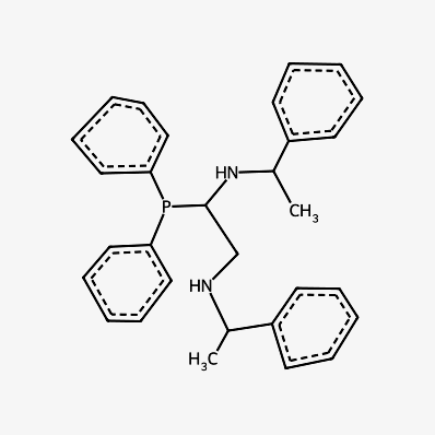 CC(NCC(NC(C)c1ccccc1)P(c1ccccc1)c1ccccc1)c1ccccc1